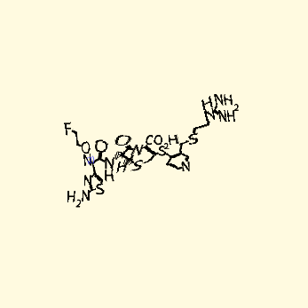 N=C(N)NCCSCc1cnccc1SC1=C(C(=O)O)N2C(=O)[C@@H](NC(=O)/C(=N\OCCF)c3csc(N)n3)[C@@H]2SC1